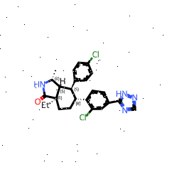 CC[C@@]12CC[C@@H](c3ccc(-c4ncn[nH]4)cc3Cl)[C@H](c3ccc(Cl)cc3)[C@@H]1[C@@H](C)NC2=O